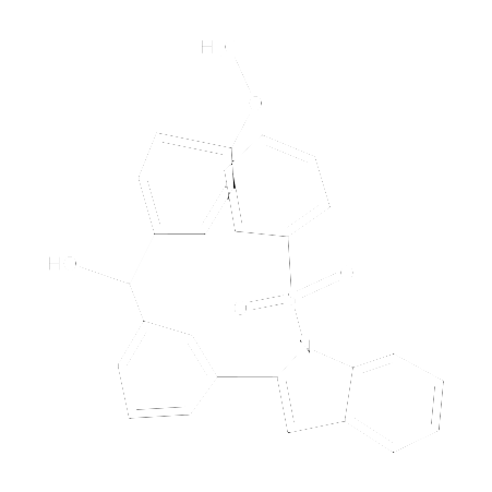 COc1ccc(C(O)c2cccc(-c3cc4ccccc4n3S(=O)(=O)c3ccccc3)c2)cc1